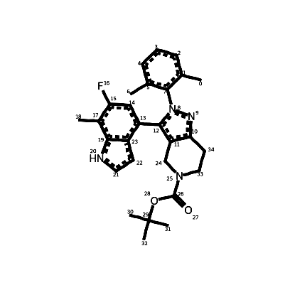 Cc1cccc(C)c1-n1nc2c(c1-c1cc(F)c(C)c3[nH]ccc13)CN(C(=O)OC(C)(C)C)CC2